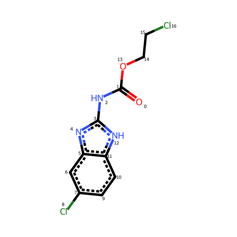 O=C(Nc1nc2cc(Cl)ccc2[nH]1)OCCCl